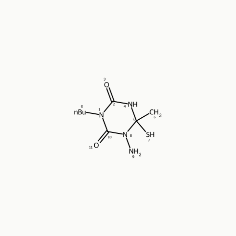 CCCCN1C(=O)NC(C)(S)N(N)C1=O